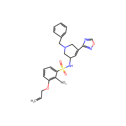 C=CCOc1cccc(S(=O)(=O)NC2C=C(c3ncon3)CN(Cc3ccccc3)C2)c1[N+](=O)[O-]